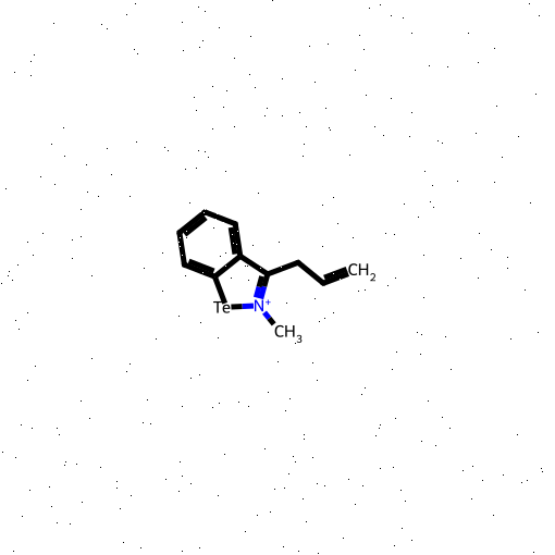 C=CCc1c2ccccc2[te][n+]1C